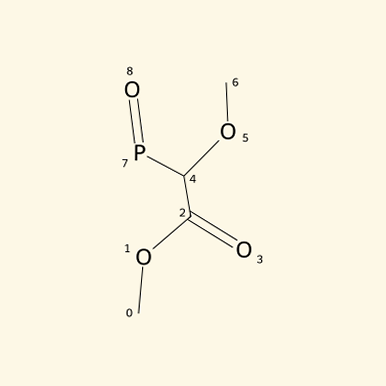 COC(=O)C(OC)P=O